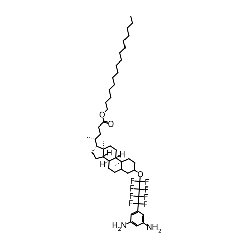 CCCCCCCCCCCCCCCCOC(=O)CC[C@@H](C)[C@H]1CC[C@H]2[C@@H]3CCC4CC(OC(F)(F)C(F)(F)C(F)(F)C(F)(F)c5cc(N)cc(N)c5)CC[C@]4(C)[C@H]3CC[C@]12C